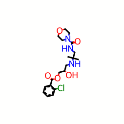 CC(C)(CNC(=O)N1CCOCC1)NCC(O)COC(=O)c1ccccc1Cl